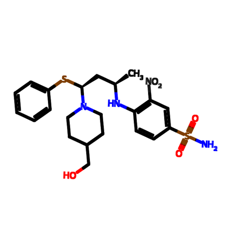 C[C@H](C[C@H](Sc1ccccc1)N1CCC(CO)CC1)Nc1ccc(S(N)(=O)=O)cc1[N+](=O)[O-]